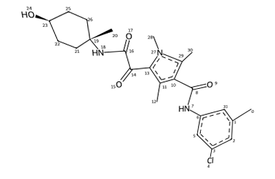 Cc1cc(Cl)cc(NC(=O)c2c(C)c(C(=O)C(=O)N[C@]3(C)CC[C@@H](O)CC3)n(C)c2C)c1